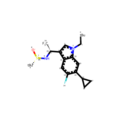 CC(C)(C)Cn1cc([C@H](N[S@@+]([O-])C(C)(C)C)C(F)(F)F)c2cc(F)c(C3CC3)cc21